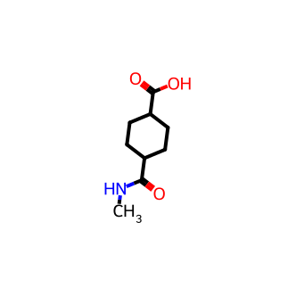 CNC(=O)C1CCC(C(=O)O)CC1